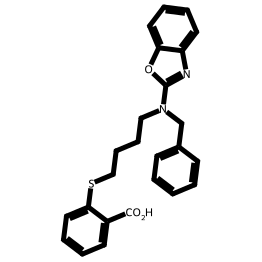 O=C(O)c1ccccc1SCCCCN(Cc1ccccc1)c1nc2ccccc2o1